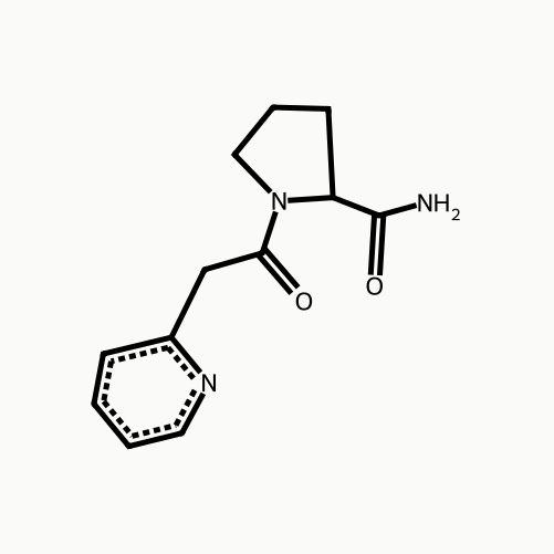 NC(=O)C1CCCN1C(=O)Cc1ccccn1